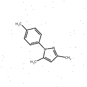 Cc1ccc(-n2nc(C)cc2C)cc1